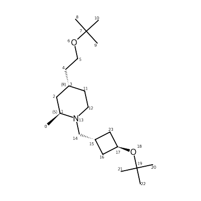 C[C@H]1C[C@H](CCOC(C)(C)C)CCN1C[C@H]1C[C@H](OC(C)(C)C)C1